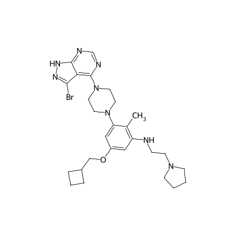 Cc1c(NCCN2CCCC2)cc(OCC2CCC2)cc1N1CCN(c2ncnc3[nH]nc(Br)c23)CC1